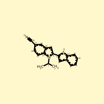 CC(C)n1c(-c2cc3ccccc3s2)cc2cc(C#N)ccc21